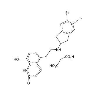 CCc1cc2c(cc1CC)CC(NCCc1ccc(O)c3[nH]c(=O)ccc13)C2.O=C(O)CC(=O)O